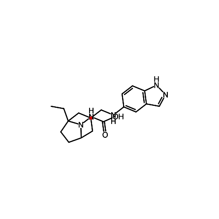 CCC12CCC(CC(CNc3ccc4[nH]ncc4c3)C1)N2NC(=O)O